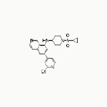 CCc1cc(-c2cc(NC3CCN(S(=O)(=O)C4CC4)CC3)c3cnccc3c2)ccn1